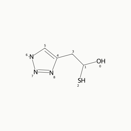 OC(S)CC1=C[N]N=N1